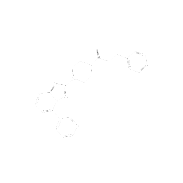 O=C(OCc1ccccc1)N1CCN(c2nc3nccc(-c4cccnc4)n3n2)CC1